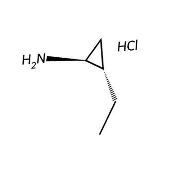 CC[C@H]1C[C@@H]1N.Cl